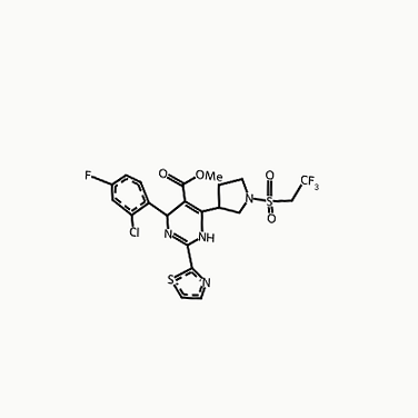 COC(=O)C1=C(C2CCN(S(=O)(=O)CC(F)(F)F)C2)NC(c2nccs2)=NC1c1ccc(F)cc1Cl